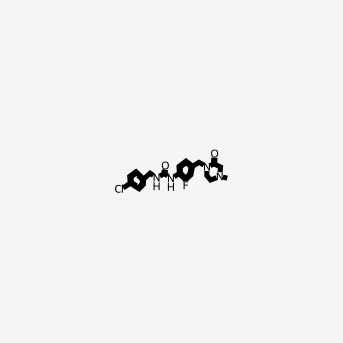 CN1CCN(Cc2ccc(NC(=O)NCc3ccc(Cl)cc3)c(F)c2)C(=O)C1